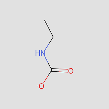 CCNC([O])=O